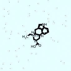 CCN1C[C@H](C(=O)O)C[C@@H]2c3cccc4[nH]cc(c34)C[C@H]21